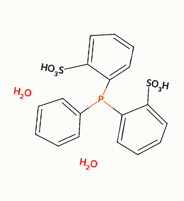 O.O.O=S(=O)(O)c1ccccc1P(c1ccccc1)c1ccccc1S(=O)(=O)O